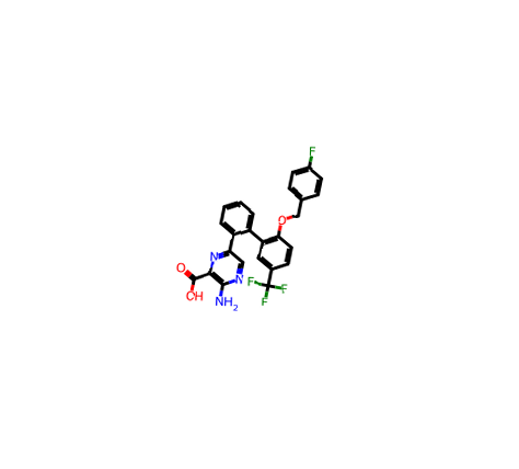 Nc1ncc(-c2ccccc2-c2cc(C(F)(F)F)ccc2OCc2ccc(F)cc2)nc1C(=O)O